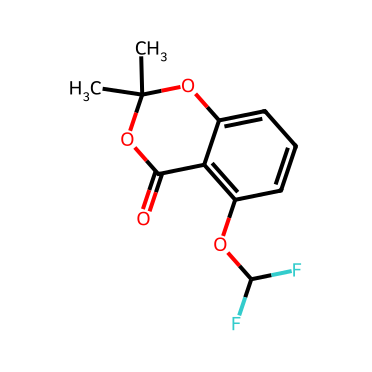 CC1(C)OC(=O)c2c(OC(F)F)cccc2O1